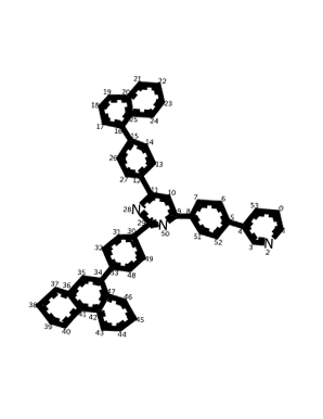 c1cncc(-c2ccc(-c3cc(-c4ccc(-c5cccc6ccccc56)cc4)nc(-c4ccc(-c5cc6ccccc6c6ccccc56)cc4)n3)cc2)c1